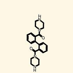 O=C(c1ccccc1-c1ccccc1C(=O)N1CCNCC1)N1CCNCC1